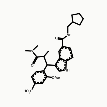 COc1cc(C(=O)O)ccc1C(c1c[nH]c2ccc(C(=O)NCC3CCCC3)cc12)C(C)C(=O)N(C)C